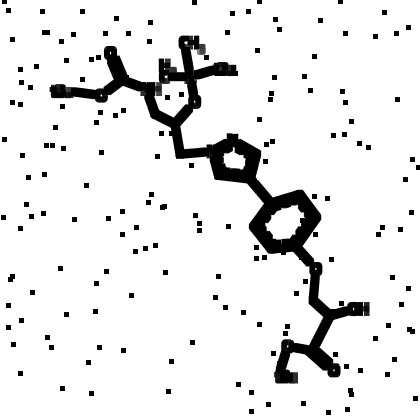 CC(C)(C)OC(=O)NCC(Cn1cc(-c2ccc(OCC(O)C(=O)OC(C)(C)C)cc2)cn1)O[Si](C)(C)C(C)(C)C